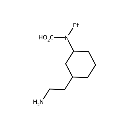 CCN(C(=O)O)C1CCCC(CCN)C1